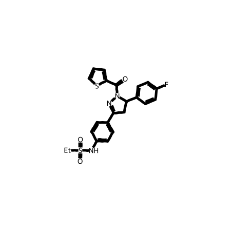 CCS(=O)(=O)Nc1ccc(C2=NN(C(=O)c3cccs3)C(c3ccc(F)cc3)C2)cc1